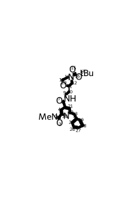 CNC(=O)c1cc(C(=O)NCC[C@@H]2CN(C(=O)OC(C)(C)C)CCO2)cc(Cc2ccccc2)n1